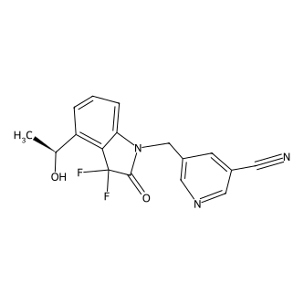 C[C@H](O)c1cccc2c1C(F)(F)C(=O)N2Cc1cncc(C#N)c1